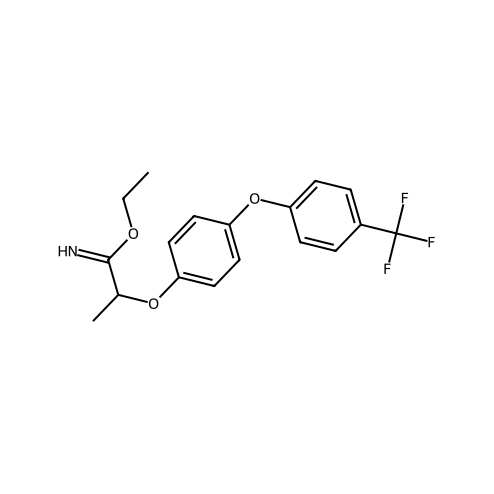 CCOC(=N)C(C)Oc1ccc(Oc2ccc(C(F)(F)F)cc2)cc1